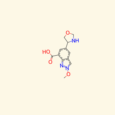 COn1cc2cc(C3COCN3)cc(C(=O)O)c2n1